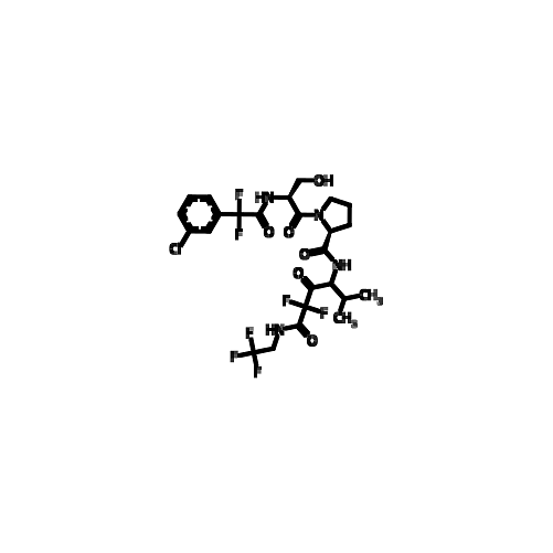 CC(C)C(NC(=O)[C@@H]1CCCN1C(=O)[C@H](CO)NC(=O)C(F)(F)c1cccc(Cl)c1)C(=O)C(F)(F)C(=O)NCC(F)(F)F